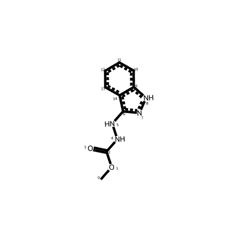 COC(=O)NNc1n[nH]c2ccccc12